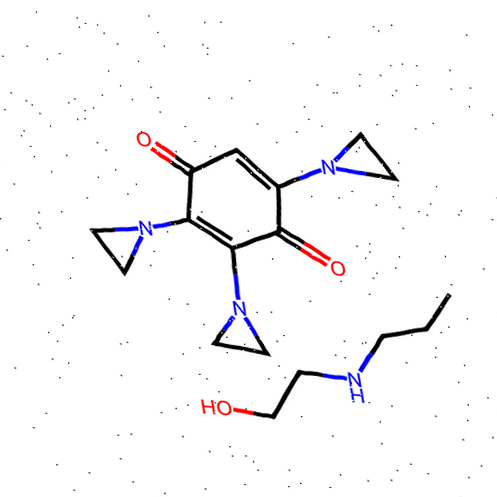 CCCNCCO.O=C1C=C(N2CC2)C(=O)C(N2CC2)=C1N1CC1